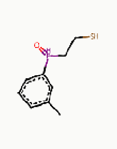 Cc1cccc([PH](=O)CCS)c1